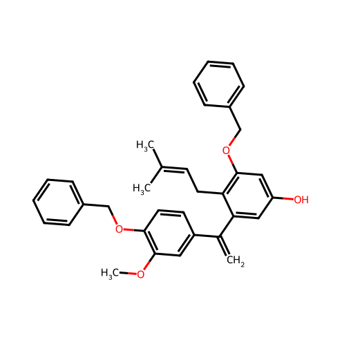 C=C(c1ccc(OCc2ccccc2)c(OC)c1)c1cc(O)cc(OCc2ccccc2)c1CC=C(C)C